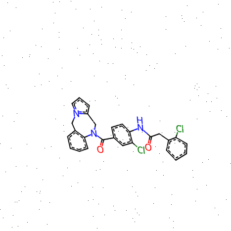 O=C(Cc1ccccc1Cl)Nc1ccc(C(=O)N2Cc3cccn3Cc3ccccc32)cc1Cl